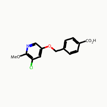 COc1ncc(OCc2ccc(C(=O)O)cc2)cc1Cl